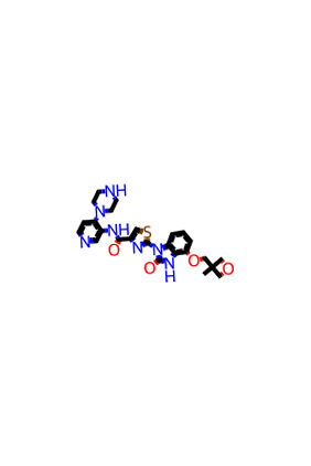 CC1(COc2cccc3c2[nH]c(=O)n3-c2nc(C(=O)Nc3cnccc3N3CCNCC3)cs2)COC1